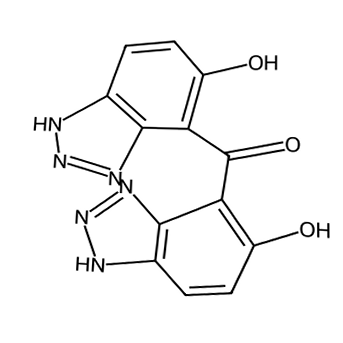 O=C(c1c(O)ccc2[nH]nnc12)c1c(O)ccc2[nH]nnc12